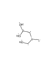 [CH2]C(CO)CC(O)O